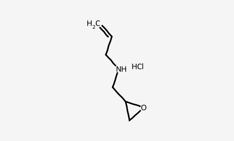 C=CCNCC1CO1.Cl